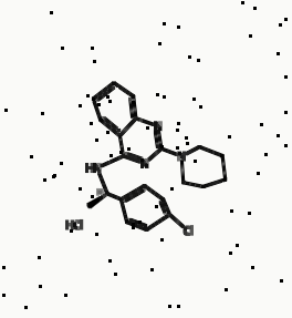 C[C@@H](Nc1nc(N2CCCCC2)nc2ccccc12)c1ccc(Cl)cc1.Cl